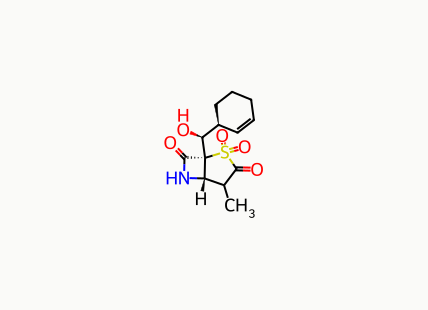 CC1C(=O)S(=O)(=O)[C@@]2([C@@H](O)[C@@H]3C=CCCC3)C(=O)N[C@@H]12